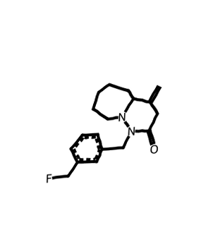 C=C1CC(=O)N(Cc2cccc(CF)c2)N2CCCCCC12